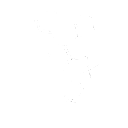 Cc1cc(-c2ccccc2)c(-c2ccccc2)c(OC(C)(C)C)c1-c1ccccc1